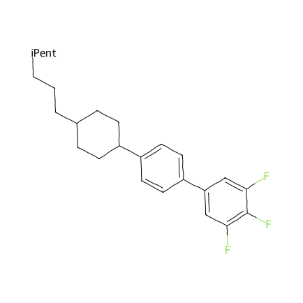 CCCC(C)CCCC1CCC(c2ccc(-c3cc(F)c(F)c(F)c3)cc2)CC1